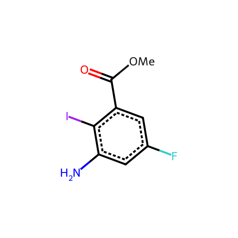 COC(=O)c1cc(F)cc(N)c1I